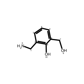 NCc1c[c]cc(CO)c1O